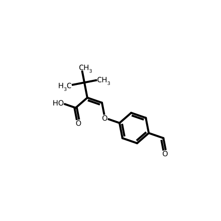 CC(C)(C)C(=COc1ccc(C=O)cc1)C(=O)O